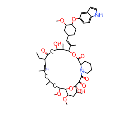 CCC1/C=C(\C)CC(C)CC(OC)C2OC(O)(C(=O)C(=O)N3CCCCC3C(=O)OC(C(C)=CC3CCC(Oc4ccc5[nH]ccc5c4)C(OC)C3)C(C)C(O)CC1=O)C(C)CC2OC